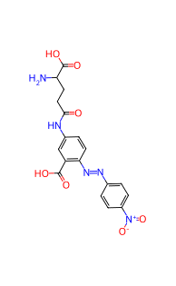 NC(CCC(=O)Nc1ccc(/N=N/c2ccc([N+](=O)[O-])cc2)c(C(=O)O)c1)C(=O)O